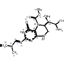 CC(N)[C@H](O)C1CNc2nc(/N=C/N(C)C)[nH]c(=O)c2N1C(=O)OC(C)(C)C